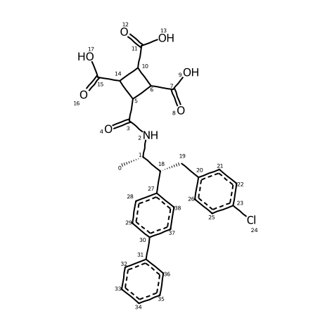 C[C@H](NC(=O)C1C(C(=O)O)C(C(=O)O)C1C(=O)O)[C@H](Cc1ccc(Cl)cc1)c1ccc(-c2ccccc2)cc1